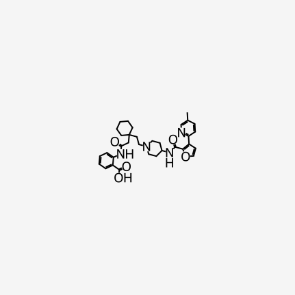 Cc1ccc(-c2ccoc2C(=O)NC2CCN(CCC3(CC(=O)Nc4ccccc4C(=O)O)CCCCC3)CC2)nc1